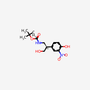 CC(C)(C)OC(=O)NC[C@H](CO)c1ccc(O)c([N+](=O)[O-])c1